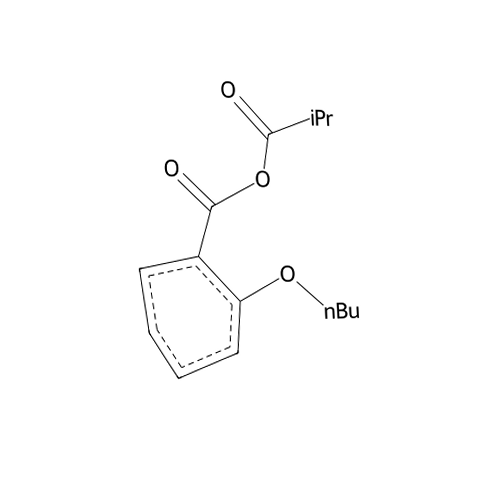 CCCCOc1ccccc1C(=O)OC(=O)C(C)C